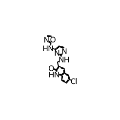 O=c1[nH]c2ccc(Cl)cc2cc1CNc1nccc(Nc2ncco2)n1